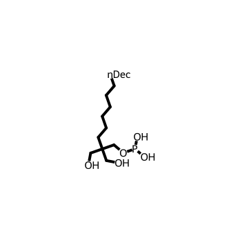 CCCCCCCCCCCCCCCCC(CO)(CO)COP(O)O